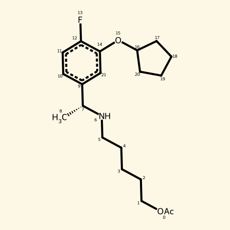 CC(=O)OCCCCCN[C@H](C)c1ccc(F)c(OC2CCCC2)c1